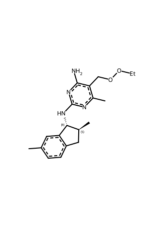 CCOOCc1c(C)nc(N[C@H]2c3cc(C)ccc3C[C@@H]2C)nc1N